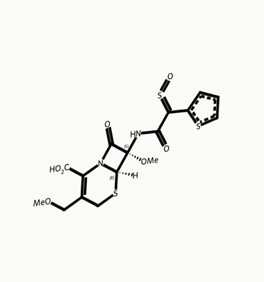 COCC1=C(C(=O)O)N2C(=O)[C@](NC(=O)C(=S=O)c3cccs3)(OC)[C@H]2SC1